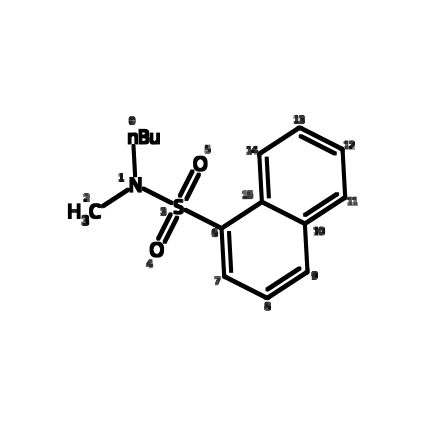 CCCCN(C)S(=O)(=O)c1cccc2ccccc12